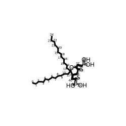 CCCCCCCCCCCCC1(CCCCCCCCCCCC)Oc2cc(B(O)O)sc2-c2sc(B(O)O)cc21